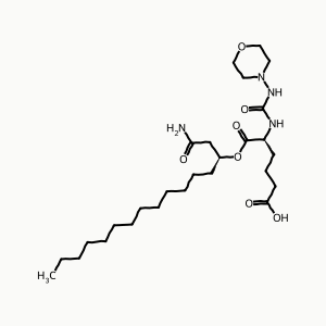 CCCCCCCCCCCCC[C@@H](CC(N)=O)OC(=O)[C@H](CCCC(=O)O)NC(=O)NN1CCOCC1